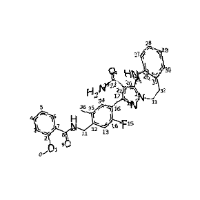 COc1ccccc1C(=O)NCc1cc(F)c(-c2nn3c(c2C(N)=O)Nc2ccccc2CC3)cc1C